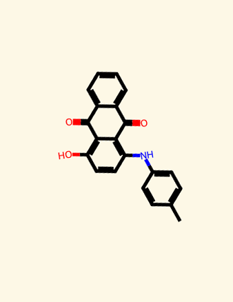 Cc1ccc(Nc2ccc(O)c3c2C(=O)c2ccccc2C3=O)cc1